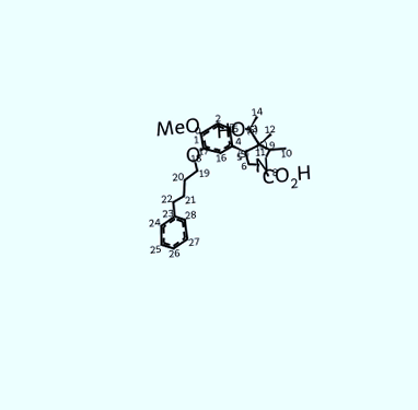 COc1ccc([C@@H]2CN(C(=O)O)C(C)[C@@]2(C)[C@H](C)O)cc1OCCCCc1ccccc1